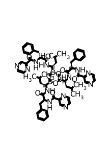 CC(C)C[C@H](NC(=O)C(Cc1ccccc1)NC(=O)c1cnccn1)B1OB([C@H](CC(C)C)NC(=O)[C@@H](Cc2ccccc2)NC(=O)c2cnccn2)OB([C@H](CC(C)C)NC(=O)[C@@H](Cc2ccccc2)NC(=O)c2cnccn2)O1